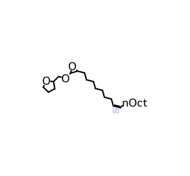 CCCCCCCC/C=C\CCCCCCCC1OC1OCC1CCCO1